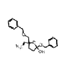 C=CC1(COCc2ccccc2)CCC(O)(OCc2ccccc2)O1